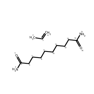 C=CC.NC(=O)CCCCCCCCC(N)=O